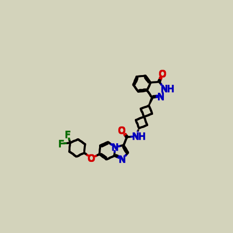 O=C(N[C@H]1CC2(C1)C[C@H](c1n[nH]c(=O)c3ccccc31)C2)c1cnc2cc(OC3CCC(F)(F)CC3)ccn12